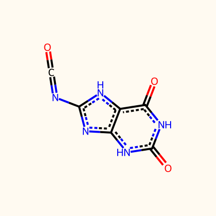 O=C=Nc1nc2[nH]c(=O)[nH]c(=O)c2[nH]1